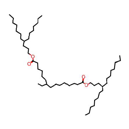 CCCCCCCCC(CCCCCCCC)CCCOC(=O)CCCCCCCC(CC)CCCCCC(=O)OCCCC(CCCCCCC)CCCCCCC